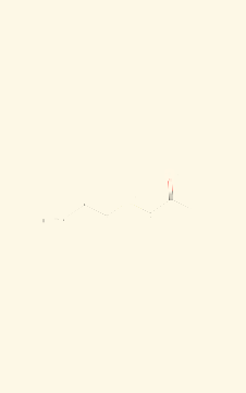 CCCCCCCCSCC(=O)C(F)(F)F